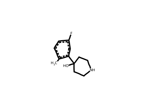 Cc1ccc(F)cc1C1(O)CCNCC1